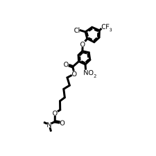 CN(C)C(=O)OCCCCCCOC(=O)c1cc(Oc2ccc(C(F)(F)F)cc2Cl)ccc1[N+](=O)[O-]